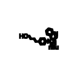 CCCCc1nc2cnc3ccccc3c2n1-c1ccc(CCCCO)cc1